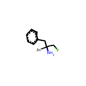 CC(=O)C(N)(CF)Cc1ccccc1